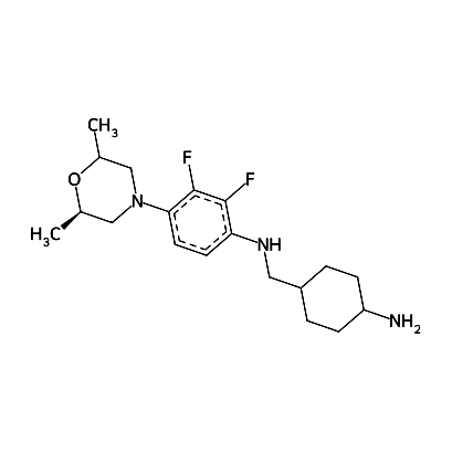 CC1CN(c2ccc(NCC3CCC(N)CC3)c(F)c2F)C[C@@H](C)O1